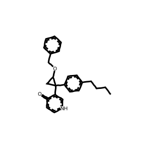 CCCCc1ccc(C2(c3c[nH]ccc3=O)CC2OCc2ccccc2)cc1